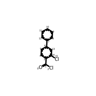 O=C(Cl)c1ccc(-c2ccccc2)cc1Cl